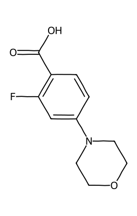 O=C(O)c1ccc(N2CCOCC2)cc1F